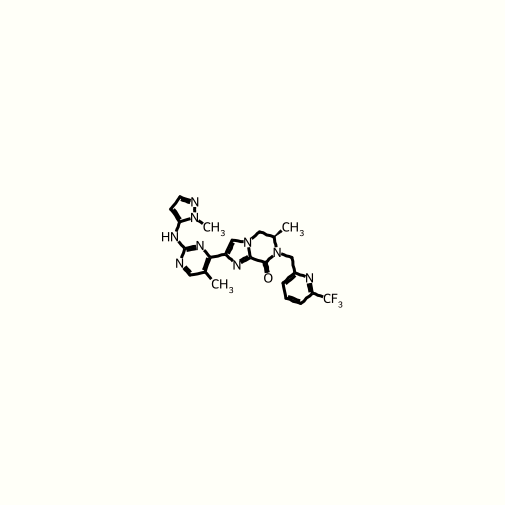 Cc1cnc(Nc2ccnn2C)nc1-c1cn2c(n1)C(=O)N(Cc1cccc(C(F)(F)F)n1)[C@H](C)C2